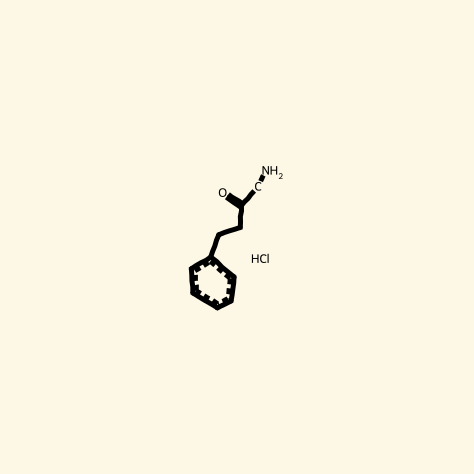 Cl.NCC(=O)CCc1ccccc1